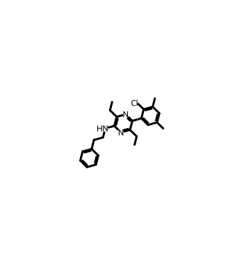 CCc1nc(-c2cc(C)cc(C)c2Cl)c(CC)nc1NCCc1ccccc1